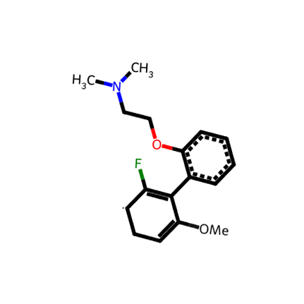 COC1=CC[CH]C(F)=C1c1ccccc1OCCN(C)C